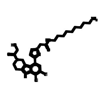 NCCCCCCCCCNC(=O)Cn1ccc(-c2cc(Cl)c(Cl)c3[nH]c4c(c23)CN(C(=O)CO)CC4)n1